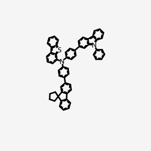 c1ccc(-n2c3ccccc3c3ccc(-c4ccc(N(c5ccc(-c6ccc7c(c6)C6(CCCC6)c6ccccc6-7)cc5)c5cccc6c5sc5ccccc56)cc4)cc32)cc1